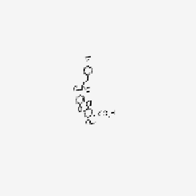 O=C(O)C1CCOc2cc(Oc3ccc(C(=O)N(Cl)CCc4ccc(C5CC5)cc4)cc3)c(Cl)cc21